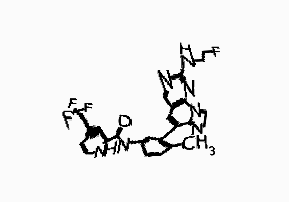 Cc1ccc(NC(=O)c2cc(C(F)(F)F)ccn2)cc1C1=Cc2cnc(NCCF)nc2N2CCN=C12